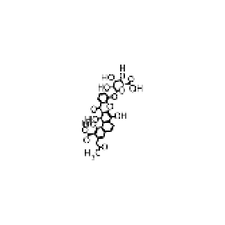 CC(=O)Cc1cc2c(c(O)c1C(=O)O)-c1c(c(O)c3oc4c(O[C@@H]5O[C@H](C(=O)O)[C@@H](O)[C@H](O)[C@H]5O)cccc4c(=O)c3c1O)CC2